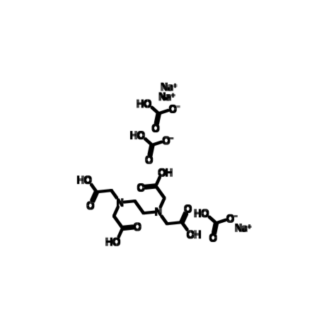 O=C(O)CN(CCN(CC(=O)O)CC(=O)O)CC(=O)O.O=C([O-])O.O=C([O-])O.O=C([O-])O.[Na+].[Na+].[Na+]